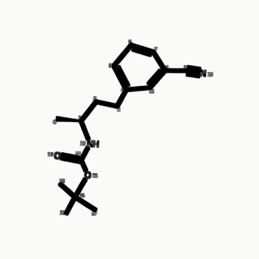 C[C@@H](CCc1cccc(C#N)c1)NC(=O)OC(C)(C)C